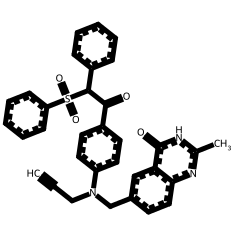 C#CCN(Cc1ccc2nc(C)[nH]c(=O)c2c1)c1ccc(C(=O)C(c2ccccc2)S(=O)(=O)c2ccccc2)cc1